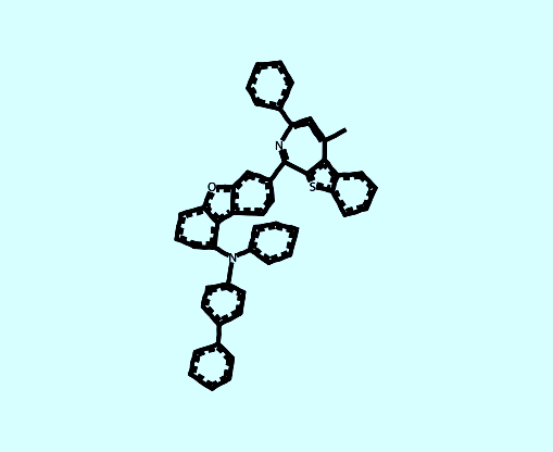 CC1=C=C(c2ccccc2)N=C(c2ccc3c(c2)oc2cccc(N(c4ccccc4)c4ccc(-c5ccccc5)cc4)c23)c2sc3ccccc3c21